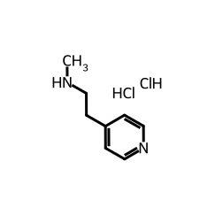 CNCCc1ccncc1.Cl.Cl